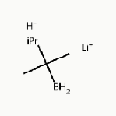 BC(C)(C)C(C)C.[H-].[Li+]